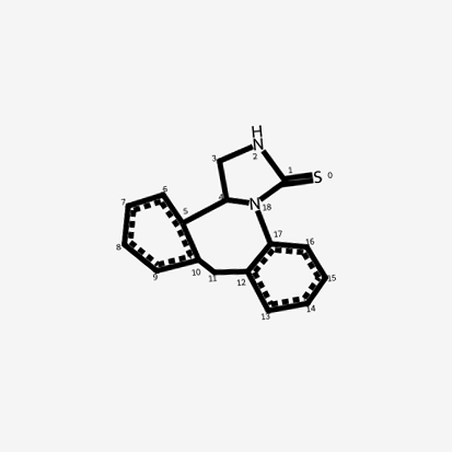 S=C1NCC2c3ccccc3Cc3ccccc3N12